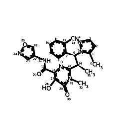 Cc1ccnn1[C@H](c1ccccc1C#N)[C@@H](C)c1nc(C(=O)Nc2cnoc2)c(O)c(=O)n1C